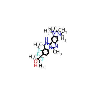 Cc1nc(N[C@H](C)c2cccc(C(F)(F)C(C)(C)O)c2F)c2cc3c(cc2n1)N(C)C(C)(C)N3C